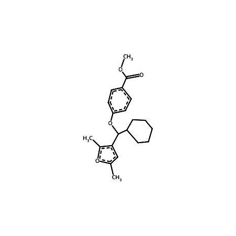 COC(=O)c1ccc(OC(c2cc(C)oc2C)C2CCCCC2)cc1